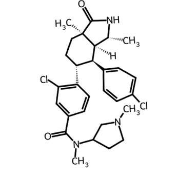 C[C@H]1NC(=O)[C@]2(C)CC[C@@H](c3ccc(C(=O)N(C)C4CCN(C)C4)cc3Cl)[C@H](c3ccc(Cl)cc3)[C@H]12